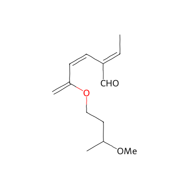 C=C(/C=C\C(C=O)=C/C)OCCC(C)OC